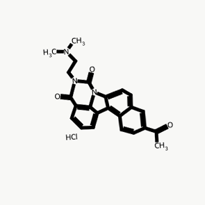 CC(=O)c1ccc2c(ccc3c2c2cccc4c(=O)n(CCN(C)C)c(=O)n3c42)c1.Cl